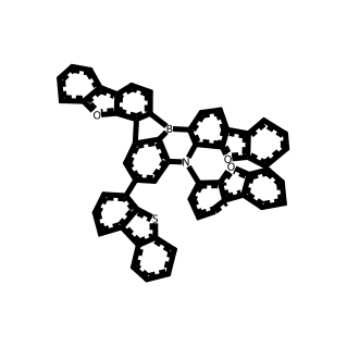 c1ccc2c(c1)oc1c(N3c4cc(-c5cccc6c5sc5ccccc56)cc5c4B(c4ccc6c(oc7ccccc76)c4-5)c4ccc5c(oc6ccccc65)c43)cccc12